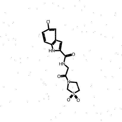 O=C(NCC(=O)N1CCS(=O)(=O)C1)c1cc2cc(Cl)ccc2[nH]1